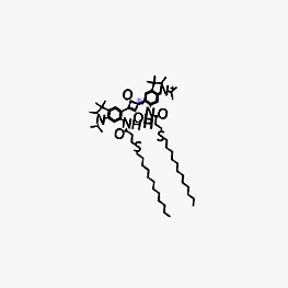 CCCCCCCCCCCCSCCC(=O)Nc1cc2c(cc1C1=C(O)/C(=c3/cc4c(cc3NC(=O)CCSCCCCCCCCCCCC)=[N+](C(C)C)C(C)C4(C)C)C1=O)C(C)(C)C(C)N2C(C)C